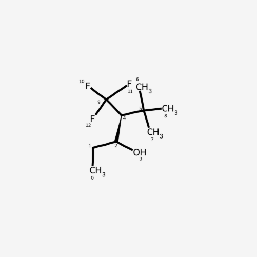 CCC(O)[C@H](C(C)(C)C)C(F)(F)F